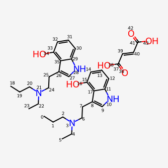 CCCN(CC)CCc1c[nH]c2cccc(O)c12.CCCN(CC)CCc1c[nH]c2cccc(O)c12.O=C(O)/C=C/C(=O)O